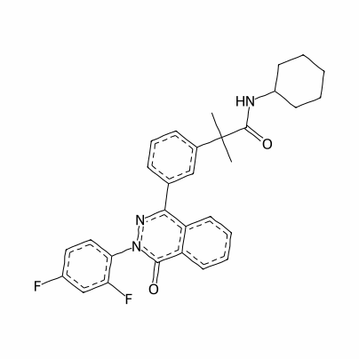 CC(C)(C(=O)NC1CCCCC1)c1cccc(-c2nn(-c3ccc(F)cc3F)c(=O)c3ccccc23)c1